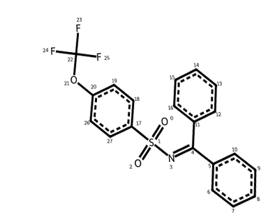 O=S(=O)(N=C(c1ccccc1)c1ccccc1)c1ccc(OC(F)(F)F)cc1